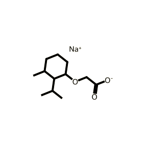 CC(C)C1C(C)CCCC1OCC(=O)[O-].[Na+]